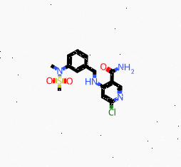 CN(c1cccc(CNc2cc(Cl)ncc2C(N)=O)c1)S(C)(=O)=O